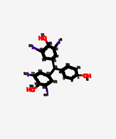 Oc1ccc(C(c2cc(I)c(O)c(I)c2)c2cc(I)c(O)c(I)c2)cc1